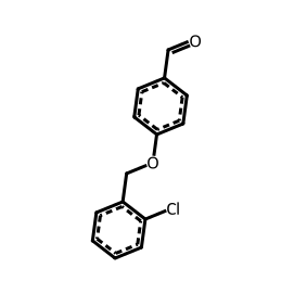 O=Cc1ccc(OCc2ccccc2Cl)cc1